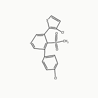 CS(=O)(=O)c1c(-c2ccc(Cl)cc2)c[c]cc1-c1sccc1Cl